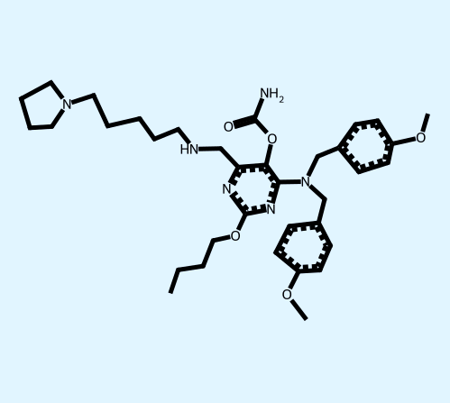 CCCCOc1nc(CNCCCCCN2CCCC2)c(OC(N)=O)c(N(Cc2ccc(OC)cc2)Cc2ccc(OC)cc2)n1